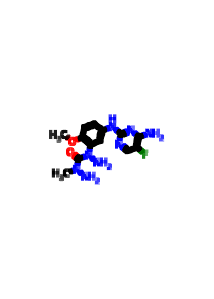 COc1ccc(Nc2ncc(F)c(N)n2)cc1N(N)C(=O)N(C)N